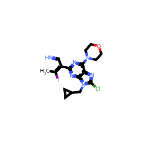 C/C(I)=C(\C=N)c1nc(N2CCOCC2)c2nc(Cl)n(CC3CC3)c2n1